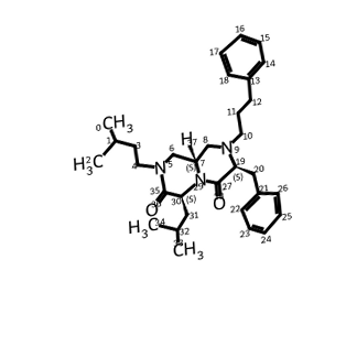 CC(C)CCN1C[C@@H]2CN(CCCc3ccccc3)[C@@H](Cc3ccccc3)C(=O)N2[C@@H](CC(C)C)C1=O